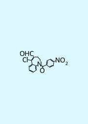 O=CC1=C(Cl)c2ccccc2N(C(=O)c2ccc([N+](=O)[O-])cc2)CC1